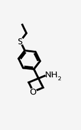 CCSc1ccc(C2(N)COC2)cc1